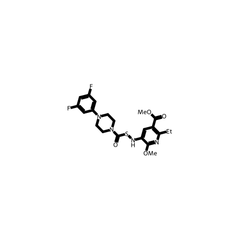 CCc1nc(OC)c(NSC(=O)N2CCN(c3cc(F)cc(F)c3)CC2)cc1C(=O)OC